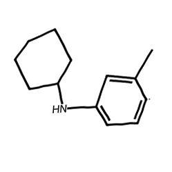 Cc1[c]ccc(NC2CCCCC2)c1